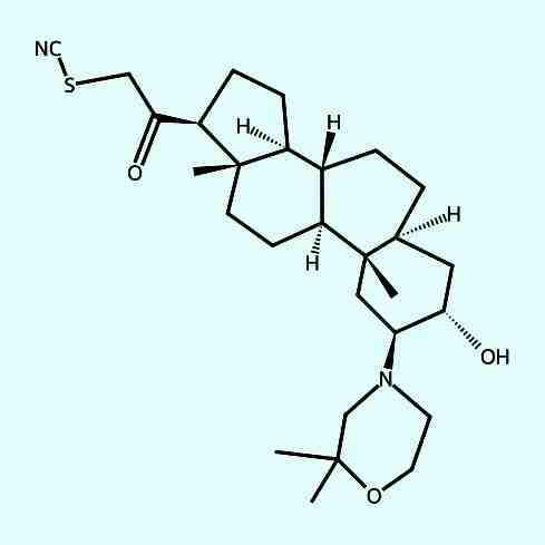 CC1(C)CN([C@H]2C[C@@]3(C)[C@@H](CC[C@@H]4[C@@H]3CC[C@]3(C)[C@@H](C(=O)CSC#N)CC[C@@H]43)C[C@@H]2O)CCO1